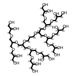 OCC(O)COCC(COCC(O)CO)OCC(COC(COCC(O)CO)COCC(O)CO)OCCCOC(COC(COCC(O)CO)COCC(O)CO)COC(COCC(O)CO)COCC(O)CO